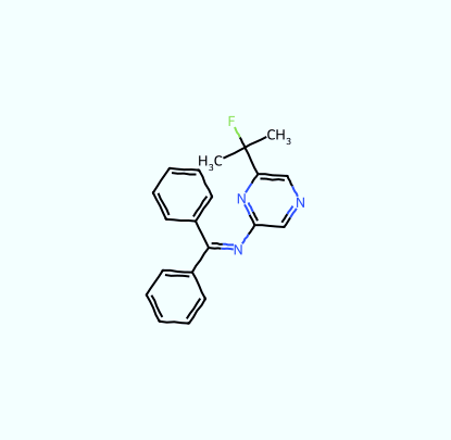 CC(C)(F)c1cncc(N=C(c2ccccc2)c2ccccc2)n1